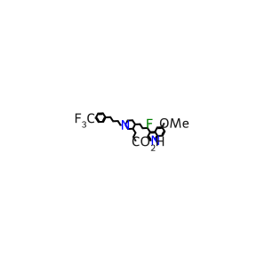 COc1ccc2nccc([C@@H](F)CCC3CCN(CCCCc4ccc(C(F)(F)F)cc4)CC3CCC(=O)O)c2c1